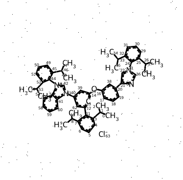 CC(C)c1cccc(C(C)C)c1-c1cc(Oc2cccc(-c3cn(-c4c(C(C)C)cccc4C(C)C)cn3)c2)cc(-n2c[n+](-c3c(C(C)C)cccc3C(C)C)c3ccccc32)c1.[Cl-]